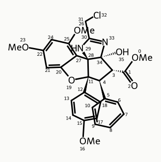 COC(=O)[C@@H]1[C@@H](c2ccccc2)[C@]2(c3ccc(OC)cc3)Oc3cc(OC)cc(OC)c3[C@@]23NC(CCl)=N[C@@]13O